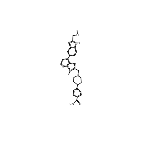 COCc1nc2cc(-c3ccnc4c3cc(CN3CCC(c5ccc(C(=O)O)cc5)CC3)n4C)ccc2[nH]1